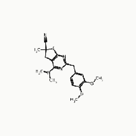 COc1ccc(Cc2nc3c(c(N(C)C)n2)CC(C)(C#N)S3)cc1OC